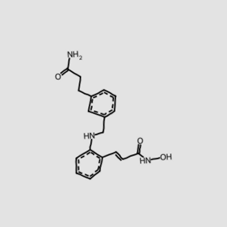 NC(=O)CCc1cccc(CNc2ccccc2C=CC(=O)NO)c1